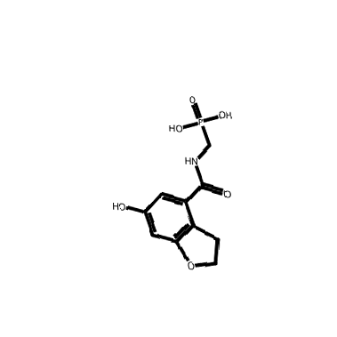 O=C(NCP(=O)(O)O)c1cc(O)cc2c1CCO2